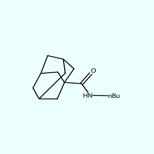 CCCCNC(=O)C12CC3CC(CC(C3)C1)C2